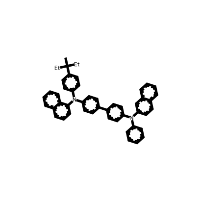 CCC(C)(CC)c1ccc(N(c2ccc(-c3ccc(N(c4ccccc4)c4ccc5ccccc5c4)cc3)cc2)c2cccc3ccccc23)cc1